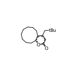 CC(C)(C)Cc1cc(=O)oc2c1CCCCCCCC2